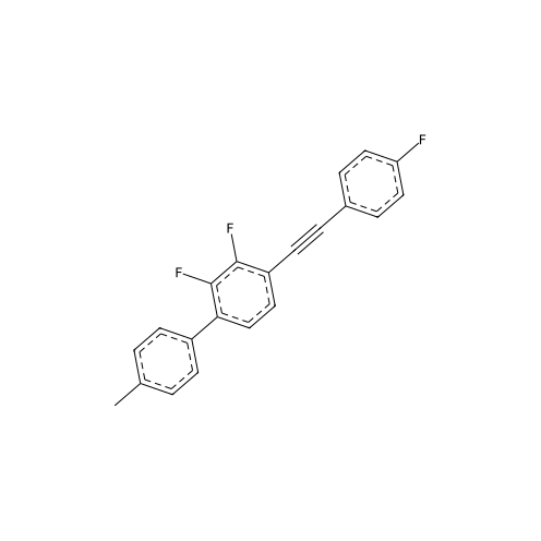 Cc1ccc(-c2ccc(C#Cc3ccc(F)cc3)c(F)c2F)cc1